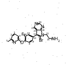 Cc1cccc(Oc2ccc(-c3c(Br)n(CCN)c4ncncc34)cc2F)n1